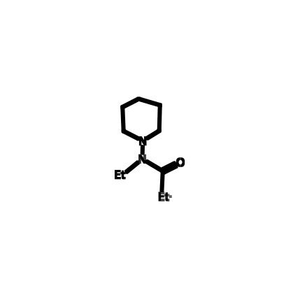 C[CH]C(=O)N(CC)N1CCCCC1